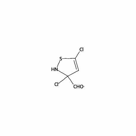 O=[C]C1(Cl)C=C(Cl)SN1